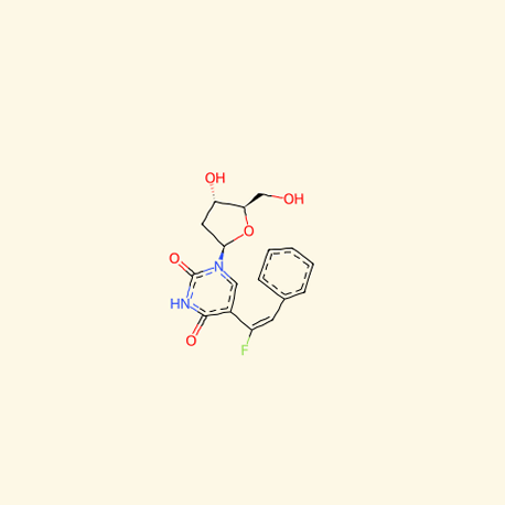 O=c1[nH]c(=O)n([C@H]2C[C@H](O)[C@@H](CO)O2)cc1/C(F)=C\c1ccccc1